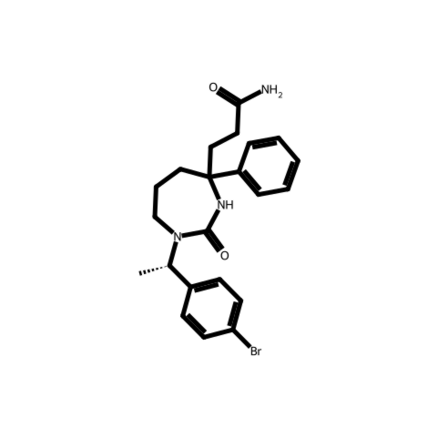 C[C@@H](c1ccc(Br)cc1)N1CCCC(CCC(N)=O)(c2ccccc2)NC1=O